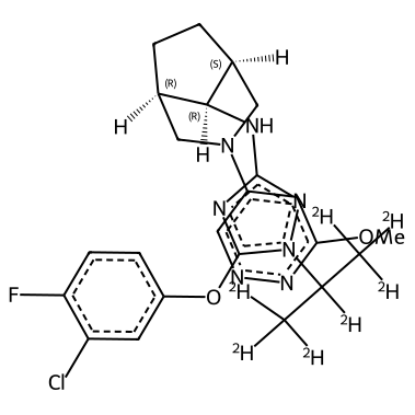 [2H]C([2H])([2H])C([2H])(n1nc(N[C@H]2[C@@H]3CC[C@H]2CN(c2cnnc(OC)c2)C3)nc1Oc1ccc(F)c(Cl)c1)C([2H])([2H])[2H]